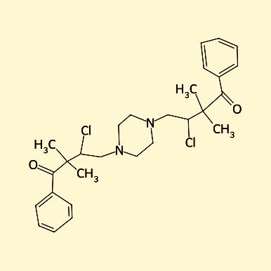 CC(C)(C(=O)c1ccccc1)C(Cl)CN1CCN(CC(Cl)C(C)(C)C(=O)c2ccccc2)CC1